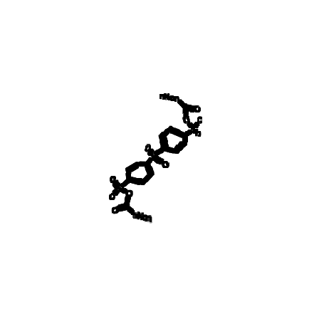 CCCCCCCCCC(=O)OS(=O)(=O)c1ccc(S(=O)(=O)c2ccc(S(=O)(=O)OC(=O)CCCCCCCCC)cc2)cc1